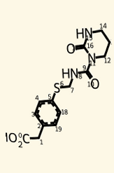 O=C(O)Cc1ccc(SCNC(=O)N2CCCNC2=O)cc1